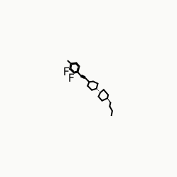 CCCC[C@H]1CC[C@H](C2CCC(C#Cc3ccc(C)c(F)c3F)CC2)CC1